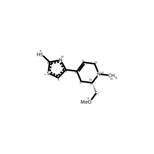 COC[C@@H]1CC(c2csc(S)n2)=CCN1C